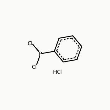 Cl.ClP(Cl)c1ccccc1